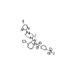 O=S(=O)(c1ccc(S(=O)(=O)n2nc(N3CCN(c4ncc(F)cn4)CC34CC4)c3c(Cl)cccc32)cc1)C1CC1